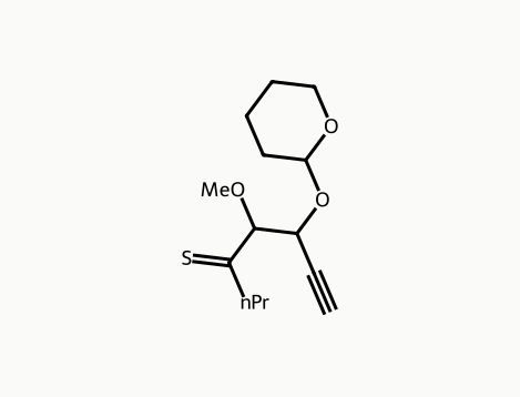 C#CC(OC1CCCCO1)C(OC)C(=S)CCC